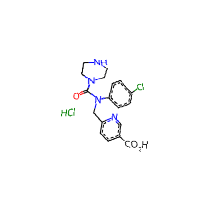 Cl.O=C(O)c1ccc(CN(C(=O)N2CCNCC2)c2ccc(Cl)cc2)nc1